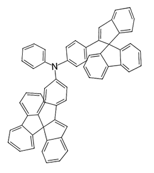 C1=C(c2ccc(N(c3ccccc3)c3ccc(C4=Cc5ccccc5C45c4ccccc4-c4ccccc45)cc3)cc2)C2(c3ccccc31)c1ccccc1-c1ccccc12